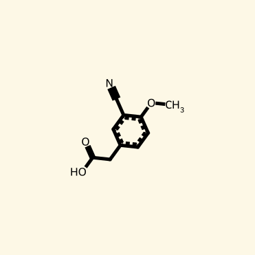 COc1ccc(CC(=O)O)cc1C#N